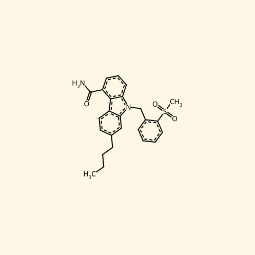 CCCCc1c[c]c2c3c(C(N)=O)cccc3n(Cc3ccccc3S(C)(=O)=O)c2c1